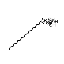 CCCCCCCCCCCCCCCCCC[Si](C)(C)OO[Si](O)(O)O